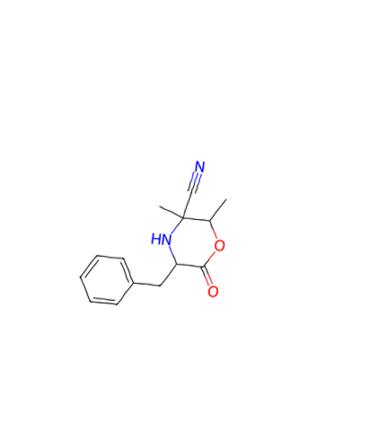 CC1OC(=O)C(Cc2ccccc2)NC1(C)C#N